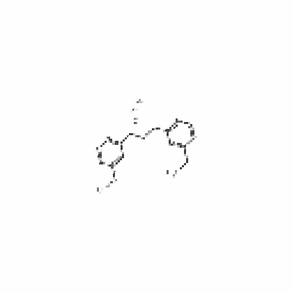 CCc1ccnc(CCCc2cc(CC)ccn2)c1.[Cl-].[Cl-].[Pt+2]